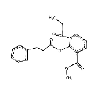 CCC(=O)c1cccc(C(=O)OC)c1OC(=O)CCc1ccccc1